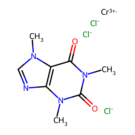 Cn1c(=O)c2c(ncn2C)n(C)c1=O.[Cl-].[Cl-].[Cl-].[Cr+3]